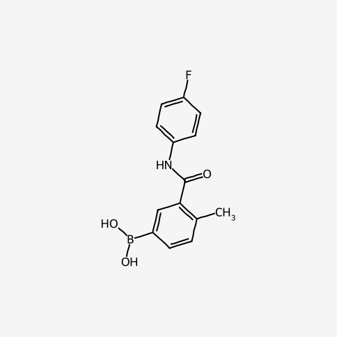 Cc1ccc(B(O)O)cc1C(=O)Nc1ccc(F)cc1